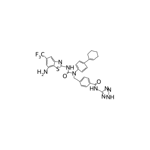 Nc1cc(C(F)(F)F)cc2nc(NC(=O)N(Cc3ccc(C(=O)Nc4nn[nH]n4)cc3)c3ccc(C4=CCCCC4)cc3)sc12